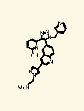 CNCCn1cc(-c2cnc3ccc(-c4c(-c5cccc(C)n5)nnn4Cc4cccnc4)cc3c2)cn1